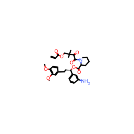 C=CC(=O)OCC(C)(C)C(=O)C(=O)N1CCCCC1C(=O)O[C@H](CCc1ccc(OC)c(OC)c1)c1cccc(N)c1